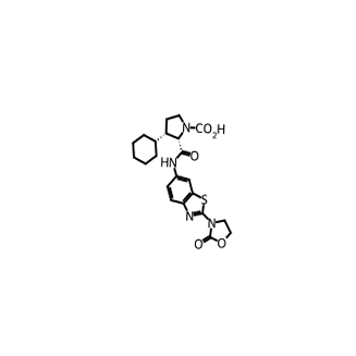 O=C(Nc1ccc2nc(N3CCOC3=O)sc2c1)[C@@H]1[C@H](C2CCCCC2)CCN1C(=O)O